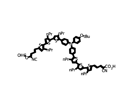 [C-]#[N+]/C(=C\C=C\c1cc(CCC)c(-c2cc(CCC)c(-c3cc(CCC)c(-c4ccc(N(c5ccc(OC(C)(C)C)cc5)c5ccc(-c6sc(-c7sc(-c8sc(/C=C/C=C(\C#N)C(=O)O)cc8CCC)cc7CCC)cc6CCC)cc5)cc4)s3)s2)s1)OC=O